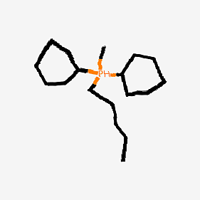 CCCCC[PH](C)(C1CCCCC1)C1CCCCC1